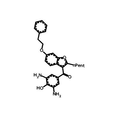 CCCCCc1oc2cc(OCCc3ccccc3)ccc2c1C(=O)c1cc(N)c(O)c(N)c1